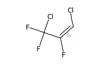 F/C(=C/Cl)C(F)(F)Cl